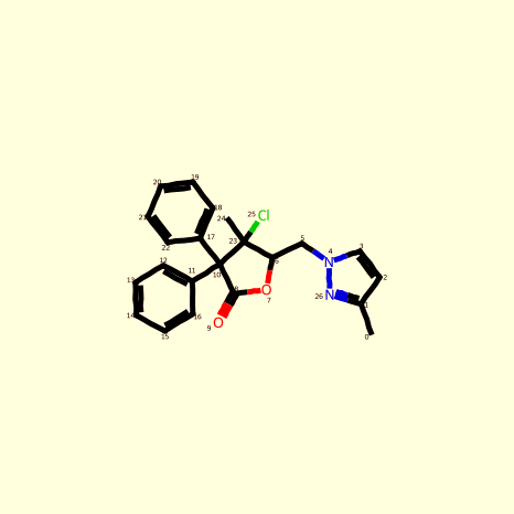 Cc1ccn(CC2OC(=O)C(c3ccccc3)(c3ccccc3)C2(C)Cl)n1